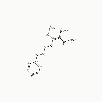 CCCCCCCCCCOC(CCCCC)=C(OCCCCCCCCCC)OCOCc1ccccc1